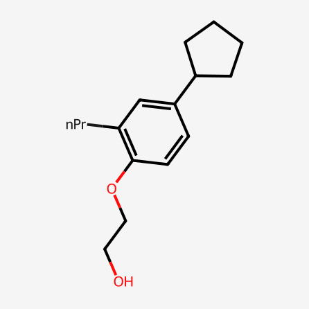 CCCc1cc(C2CCCC2)ccc1OCCO